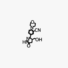 N#Cc1cc(C2=NNC(=O)CC2CO)ccc1N1CCOCC1